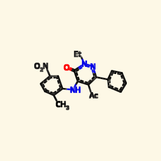 CCn1nc(-c2ccccc2)c(C(C)=O)c(Nc2cc([N+](=O)[O-])ccc2C)c1=O